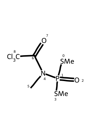 CSP(=O)(SC)N(C)C(=O)C(Cl)(Cl)Cl